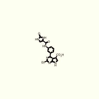 CCc1nc(-c2cccc(NC(=O)c3c[nH]c(=O)[nH]3)c2)c2c(C(=O)O)c[nH]c2n1